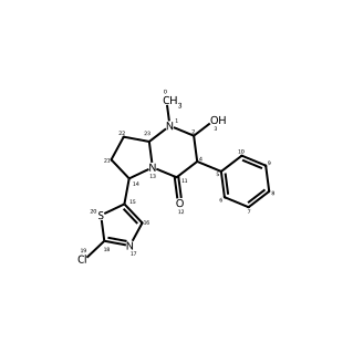 CN1C(O)C(c2ccccc2)C(=O)N2C(c3cnc(Cl)s3)CCC12